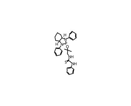 CC(C)(CNC(=S)Nc1ccccc1)OP1N(c2ccccc2)[C@@H]2CCCC[C@H]2N1c1ccccc1